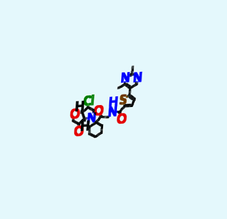 Cc1ncc(-c2ccc(C(=O)NCC(=O)C3(N4C[C@H](Cl)[C@H]5OCC(=O)[C@H]54)CCCCC3)s2)c(C)n1